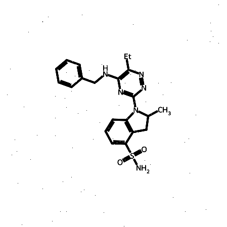 CCc1nnc(N2c3cccc(S(N)(=O)=O)c3CC2C)nc1NCc1ccccc1